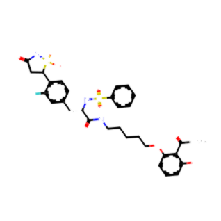 COC(=O)c1c(O)cccc1OCCCCCNC(=O)[C@H](Cc1ccc(C2CC(=O)NS2(O)O)c(F)c1)NS(=O)(=O)c1ccccc1